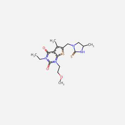 CCn1c(=O)c2c(C)c(CN3CC(C)NC3=S)sc2n(CCOC)c1=O